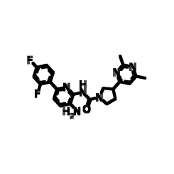 Cc1cc(C2CCN(C(=O)Nc3nc(-c4ccc(F)cc4F)ccc3N)C2)nc(C)n1